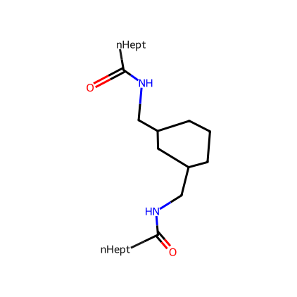 CCCCCCCC(=O)NCC1CCCC(CNC(=O)CCCCCCC)C1